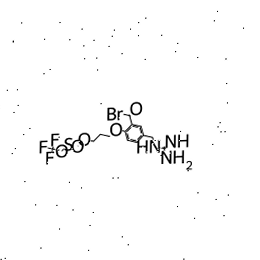 N=C(N)NCc1ccc(OCCCOOSOC(F)(F)F)c(C(=O)Br)c1